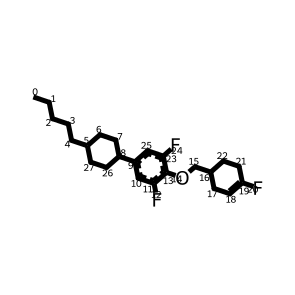 CCCCCC1CCC(c2cc(F)c(OCC3CC=C(F)CC3)c(F)c2)CC1